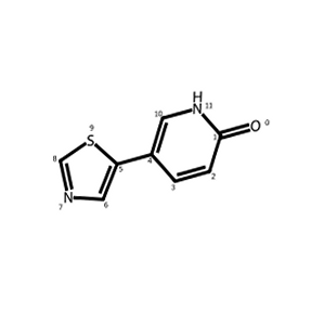 O=c1ccc(-c2cncs2)c[nH]1